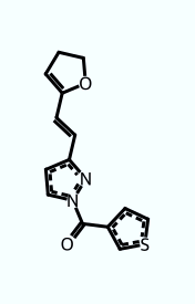 O=C(c1ccsc1)n1ccc(/C=C/C2=CCCO2)n1